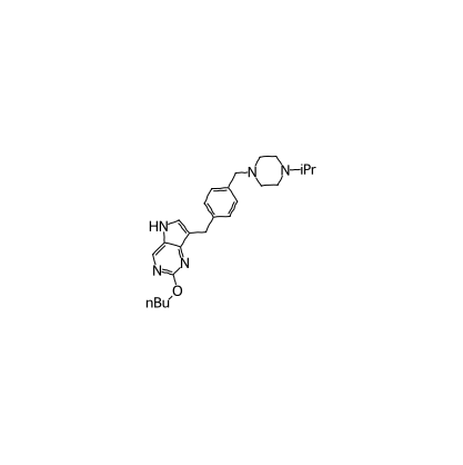 CCCCOc1ncc2[nH]cc(Cc3ccc(CN4CCN(C(C)C)CC4)cc3)c2n1